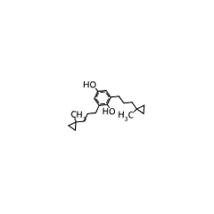 CC1(CCCc2cc(O)cc(CCCC3(C)CC3)c2O)CC1